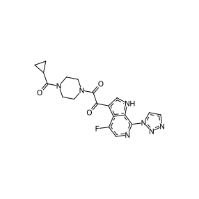 O=C(C(=O)N1CCN(C(=O)C2CC2)CC1)c1c[nH]c2c(-n3ccnn3)ncc(F)c12